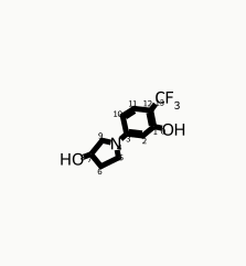 Oc1cc(N2CCC(O)C2)ccc1C(F)(F)F